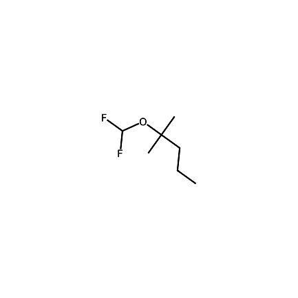 CCCC(C)(C)OC(F)F